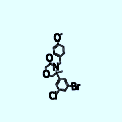 COc1ccc(CN2C(=O)COCC2(C)c2cc(Cl)cc(Br)c2)cc1